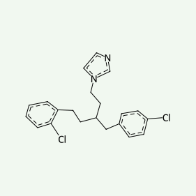 Clc1ccc(CC(CCc2ccccc2Cl)CCn2ccnc2)cc1